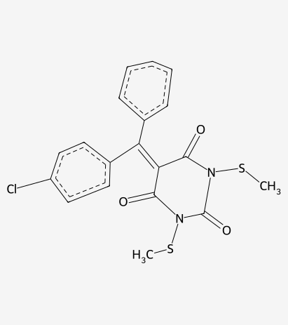 CSN1C(=O)C(=C(c2ccccc2)c2ccc(Cl)cc2)C(=O)N(SC)C1=O